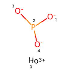 [Ho+3].[O-]P([O-])[O-]